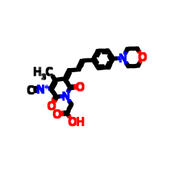 [C-]#[N+]C1=C(C)/C(=C/C=C/c2ccc(N3CCOCC3)cc2)C(=O)N(CC(=O)O)C1=O